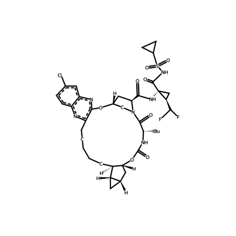 CC(C)(C)[C@@H]1NC(=O)O[C@@H]2C[C@@H]3C[C@@H]3[C@H]2CCCCCc2nc3ccc(Cl)cc3nc2O[C@@H]2C[C@@H](C(=O)N[C@]3(C(=O)NS(=O)(=O)C4CC4)C[C@H]3C(F)F)N(C2)C1=O